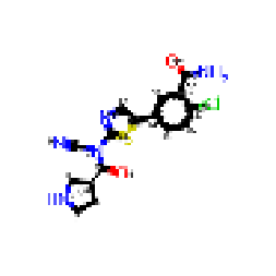 N#CN(C(=O)[C@H]1CCNC1)c1ncc(-c2ccc(Cl)c(C(N)=O)c2)s1